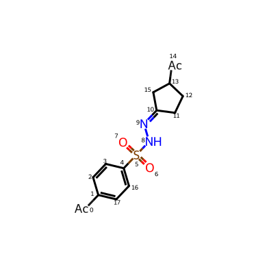 CC(=O)c1ccc(S(=O)(=O)N/N=C2\CCC(C(C)=O)C2)cc1